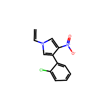 C=Cn1cc(-c2ccccc2Cl)c([N+](=O)[O-])c1